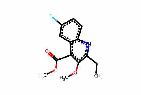 CCc1nc2ccc(F)cc2c(C(=O)OC)c1OC